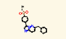 CS(=O)(=O)c1ccc(-c2cnc3ccc(Cc4ccccc4)nn23)cc1